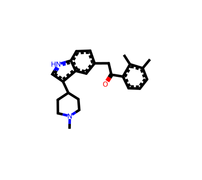 Cc1cccc(C(=O)Cc2ccc3[nH]cc(C4CCN(C)CC4)c3c2)c1C